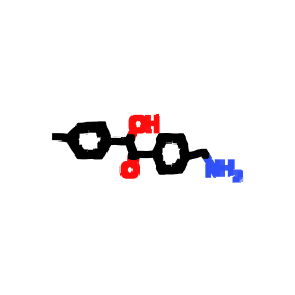 Cc1ccc(C(O)C(=O)c2ccc(CN)cc2)cc1